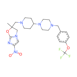 CC1(CN2CCC(N3CCN(Cc4ccc(OC(F)(F)F)cc4)CC3)CC2)Cn2cc([N+](=O)[O-])nc2O1